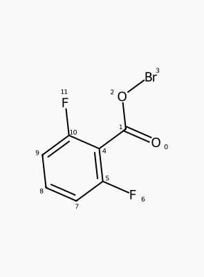 O=C(OBr)c1c(F)cccc1F